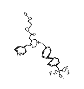 CCOCCOC(=O)C[C@H]1CN(Cc2ccc(-c3ccc(C(O)(C(F)(F)F)C(F)(F)F)cc3)cc2)CCN1Cc1ccncc1